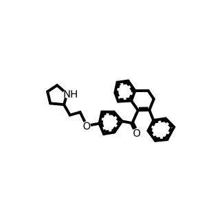 O=C(C1=C(c2ccccc2)CCc2ccccc21)c1ccc(OCCC2CCCN2)cc1